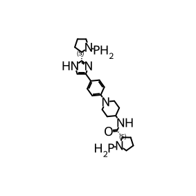 O=C(NC1CCN(c2ccc(-c3c[nH]c([C@@H]4CCCN4P)n3)cc2)CC1)[C@@H]1CCCN1P